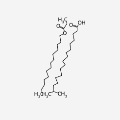 CC(C)CCCCCCCCCCCCCCC(=O)O.CCCCCCCCCCCCCCOC(=O)CC